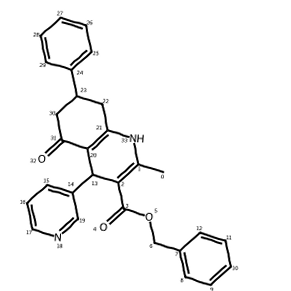 CC1=C(C(=O)OCc2ccccc2)C(c2cccnc2)C2=C(CC(c3ccccc3)CC2=O)N1